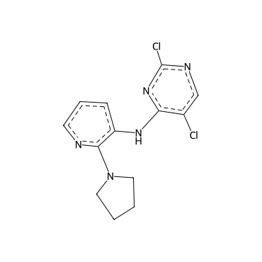 Clc1ncc(Cl)c(Nc2cccnc2N2CCCC2)n1